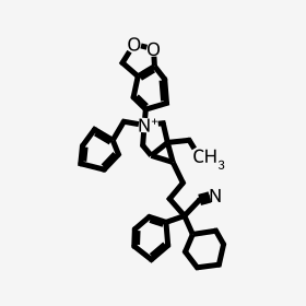 CCC12C[N+](Cc3ccccc3)(c3ccc4c(c3)COO4)CC1C2CCC(C#N)(c1ccccc1)C1CCCCC1